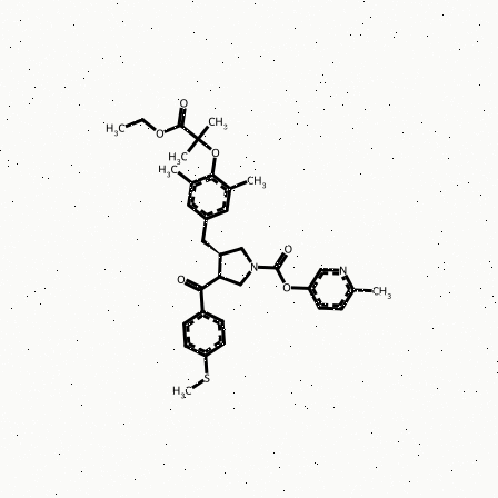 CCOC(=O)C(C)(C)Oc1c(C)cc(C[C@H]2CN(C(=O)Oc3ccc(C)nc3)CC2C(=O)c2ccc(SC)cc2)cc1C